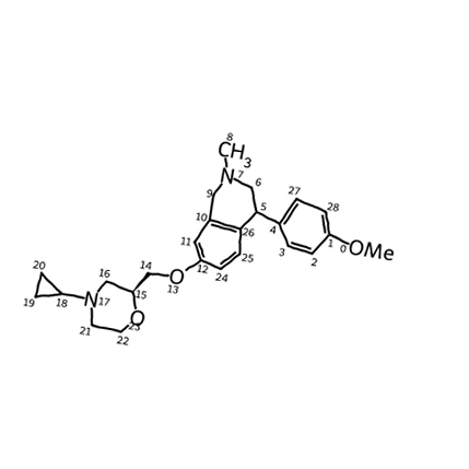 COc1ccc(C2CN(C)Cc3cc(OC[C@@H]4CN(C5CC5)CCO4)ccc32)cc1